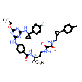 Cc1ccc(C2CC2CNC(=O)C(=O)NCC[C@H](NC(=O)c2ccc(Nc3nc(NC4(c5ccc(Cl)cc5)CC4)nc(OCC(F)(F)F)n3)cc2)C(=O)O)cc1